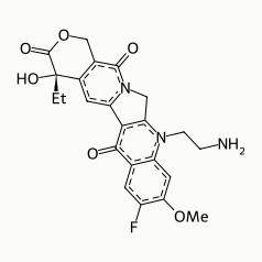 CC[C@@]1(O)C(=O)OCc2c1cc1n(c2=O)Cc2c-1c(=O)c1cc(F)c(OC)cc1n2CCN